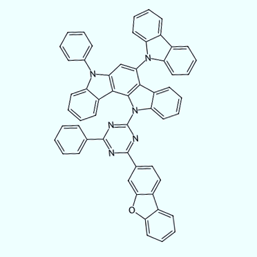 c1ccc(-c2nc(-c3ccc4c(c3)oc3ccccc34)nc(-n3c4ccccc4c4c(-n5c6ccccc6c6ccccc65)cc5c(c6ccccc6n5-c5ccccc5)c43)n2)cc1